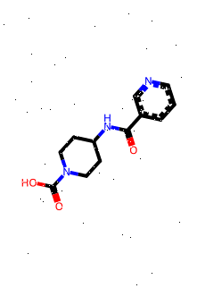 O=C(NC1CCN(C(=O)O)CC1)c1cccnc1